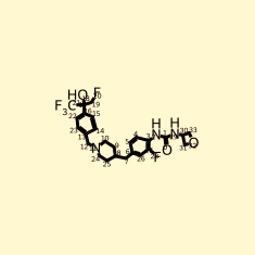 O=C(Nc1ccc(CC2CCN(Cc3ccc(C(O)(CF)C(F)(F)F)cc3)CC2)cc1F)NC1COC1